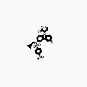 CCC(C(=O)O)n1c2c(c3cc(F)ccc31)C[C@@H](N(CC1CC1)S(=O)(=O)c1ccc([N+](=O)[O-])cc1)CC2